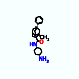 C[C@]12CC3CC1(C(=O)N[C@H]1CC[C@@H](N)CC1)C[C@@](c1ccccc1)(C3)C2